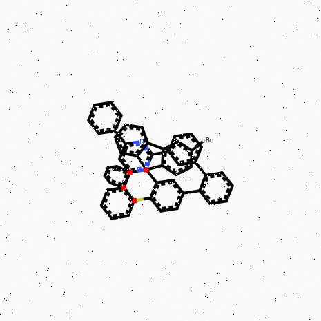 CC(C)(C)c1ccc2c(c1)-c1ccccc1C21c2ccccc2Sc2ccc(-c3ccccc3-c3cccc(-c4nc(-c5ccccc5)cc(-c5ccccc5)n4)c3)cc21